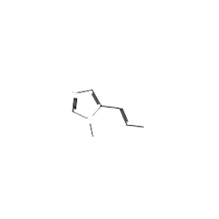 C/C=C/c1cncn1C